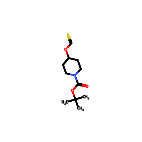 CC(C)(C)OC(=O)N1CCC(OC=S)CC1